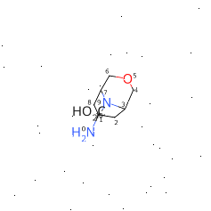 NC1CC2COCC(C1)N2C(=O)O